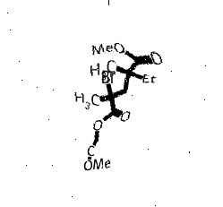 CCC(C)(CC(C)(Br)C(=O)OCCOC)C(=O)OC